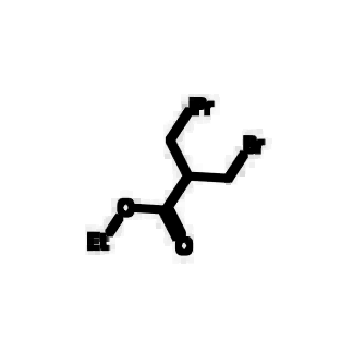 CCOC(=O)C(CBr)CC(C)C